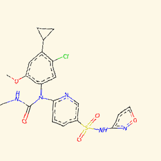 CNC(=O)N(c1ccc(S(=O)(=O)Nc2ccon2)cn1)c1cc(Cl)c(C2CC2)cc1OC